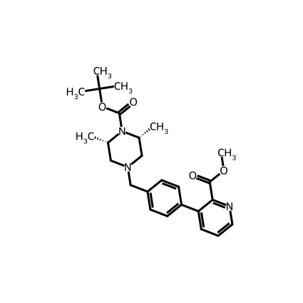 COC(=O)c1ncccc1-c1ccc(CN2C[C@@H](C)N(C(=O)OC(C)(C)C)[C@@H](C)C2)cc1